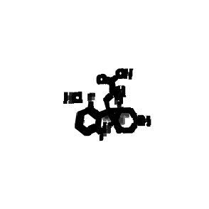 Cl.O=C(O)NC[C@]1(c2c(F)cccc2F)[C@@H]2CCNC[C@@H]21